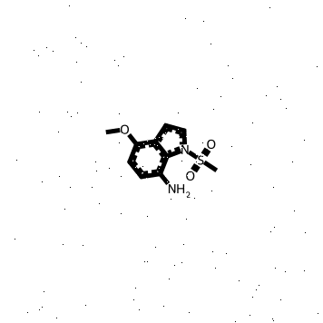 COc1ccc(N)c2c1ccn2S(C)(=O)=O